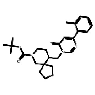 Cc1ccccc1-c1cc(=O)n(CC2CCN(C(=O)OC(C)(C)C)CC23CCCC3)cn1